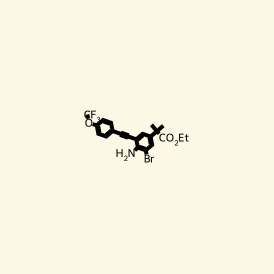 CCOC(=O)C(C)(C)c1cc(Br)c(N)c(C#Cc2ccc(OC(F)(F)F)cc2)c1